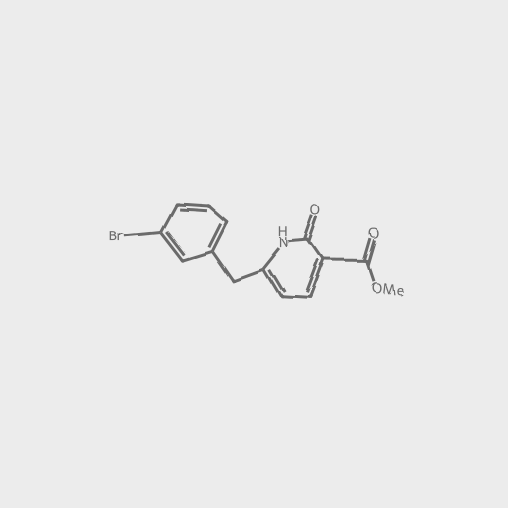 COC(=O)c1ccc(Cc2cccc(Br)c2)[nH]c1=O